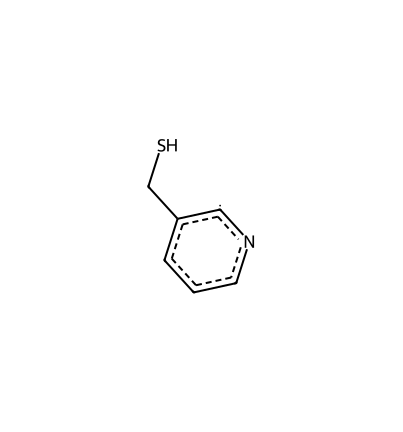 SCc1[c]nccc1